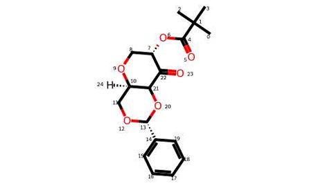 CC(C)(C)C(=O)O[C@H]1CO[C@@H]2CO[C@@H](c3ccccc3)OC2C1=O